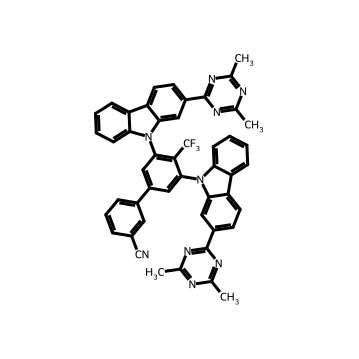 Cc1nc(C)nc(-c2ccc3c4ccccc4n(-c4cc(-c5cccc(C#N)c5)cc(-n5c6ccccc6c6ccc(-c7nc(C)nc(C)n7)cc65)c4C(F)(F)F)c3c2)n1